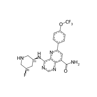 NC(=O)c1cc(-c2ccc(OC(F)(F)F)cc2)nc2c(N[C@@H]3CNC[C@H](F)C3)ncnc12